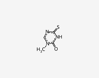 Cn1cnc(=S)[nH]c1=O